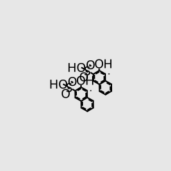 O=S(=O)(O)c1cc2ccccc2[c]c1O.O=S(=O)(O)c1cc2ccccc2[c]c1O